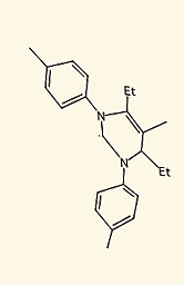 CCC1=C(C)C(CC)N(c2ccc(C)cc2)[CH]N1c1ccc(C)cc1